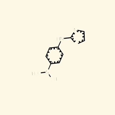 CN(C)c1ccc(Nc2nccs2)cc1